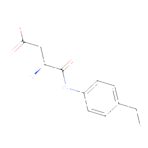 CCc1ccc(NC(=O)[C@@H](N)CC(=O)O)cc1